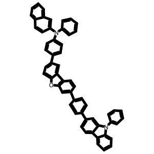 c1ccc(N(c2ccc(-c3ccc4oc5cc(-c6ccc(-c7ccc8c9ccccc9n(-c9ccccc9)c8c7)cc6)ccc5c4c3)cc2)c2ccc3ccccc3c2)cc1